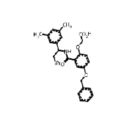 Cc1cc(C)cc(C(CC(C)C)NC(=O)c2cc(OCc3ccccc3)ccc2OCC(=O)O)c1